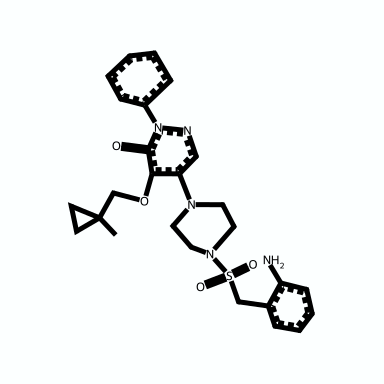 CC1(COc2c(N3CCN(S(=O)(=O)Cc4ccccc4N)CC3)cnn(-c3ccccc3)c2=O)CC1